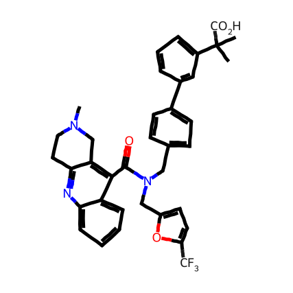 CN1CCc2nc3ccccc3c(C(=O)N(Cc3ccc(-c4cccc(C(C)(C)C(=O)O)c4)cc3)Cc3ccc(C(F)(F)F)o3)c2C1